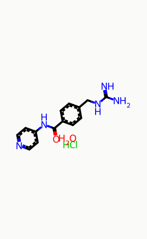 Cl.N=C(N)NCc1ccc(C(=O)Nc2ccncc2)cc1.O